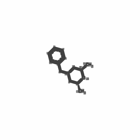 C[C@@H]1CN(Cc2ccccc2)C[C@@H](C)O1